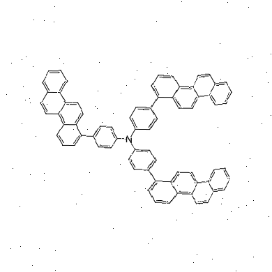 c1ccc2c(c1)ccc1c3cccc(-c4ccc(N(c5ccc(-c6cccc7c6ccc6c8ccccc8ccc76)cc5)c5ccc(-c6cccc7c6ccc6c8ccccc8ccc76)cc5)cc4)c3ccc21